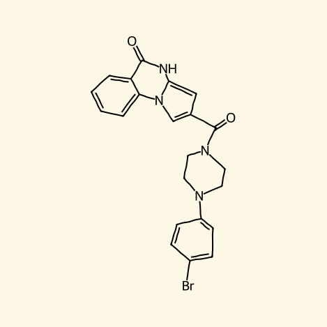 O=C(c1cc2[nH]c(=O)c3ccccc3n2c1)N1CCN(c2ccc(Br)cc2)CC1